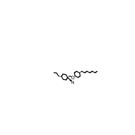 CCCCCCC[C@H]1CC[C@H](OC[C@]2(C#N)CC[C@H](CCC)CC2)CC1